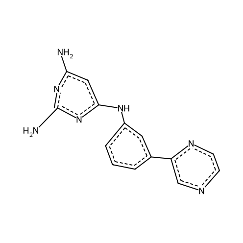 Nc1cc(Nc2cccc(-c3cnccn3)c2)nc(N)n1